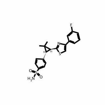 CC1(C)[C@@H](c2ccc(S(N)(=O)=O)cc2)[C@@H]1c1nc(-c2cccc(F)c2)cs1